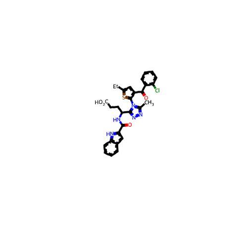 CCc1cc(C(=O)c2ccccc2Cl)c(-n2c(C)nnc2C(CCC(=O)O)NC(=O)c2cc3ccccc3[nH]2)s1